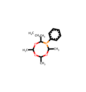 C.C.C[C]1OC(C)OC(C)OC(C)P1c1ccccc1